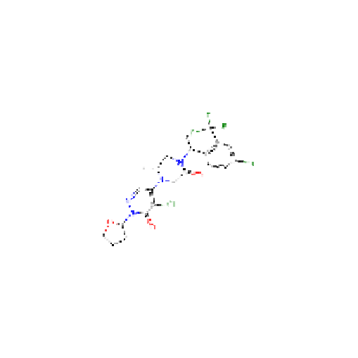 CC(c1ccc(F)cc1C(F)(F)F)N1C[C@@H](C)N(c2cnn(C3CCCO3)c(=O)c2Cl)CC1=O